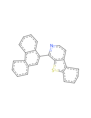 c1ccc2c(c1)cc(-c1nccc3c1sc1ccccc13)c1ccccc12